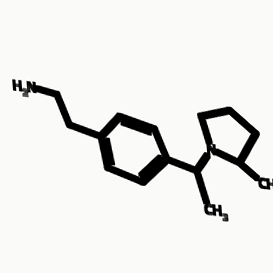 CC1CCCN1C(C)c1ccc(CCN)cc1